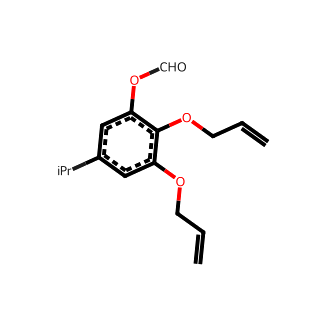 C=CCOc1cc(C(C)C)cc(OC=O)c1OCC=C